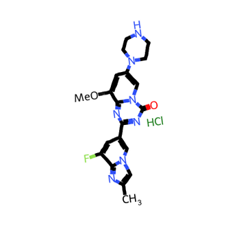 COc1cc(N2CCNCC2)cn2c(=O)nc(-c3cc(F)c4nc(C)cn4c3)nc12.Cl